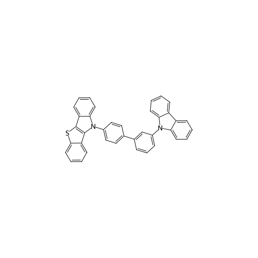 c1cc(-c2ccc(-n3c4ccccc4c4sc5ccccc5c43)cc2)cc(-n2c3ccccc3c3ccccc32)c1